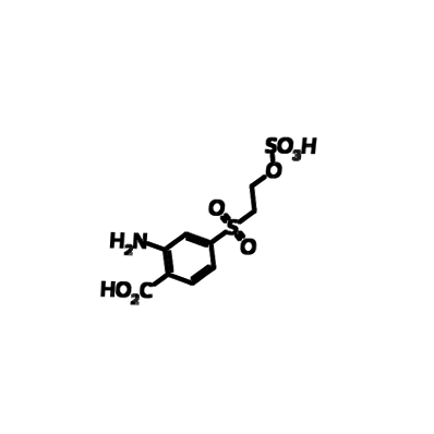 Nc1cc(S(=O)(=O)CCOS(=O)(=O)O)ccc1C(=O)O